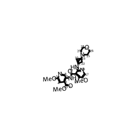 COC(=O)c1cc(OC)ncc1NC(=O)c1c(OC)ccnc1NC12CC(N3CCOCC3)(C1)C2